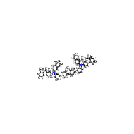 CCC1(CC)c2ccccc2-c2ccc(N(c3cccc(-c4ccc(-c5ccc(-c6cccc(N(c7ccc8c(c7)C(CC)(CC)c7ccccc7-8)c7ccc8ccccc8c7)c6)cc5C)c(C)c4)c3)c3ccc4ccccc4c3)cc21